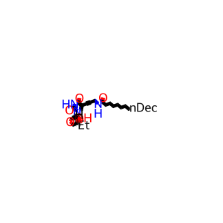 CCCCCCCCCCCCCCCCCC(=O)NCC#Cc1cn([C@@H]2O[C@@]3(CC)COC2[C@H]3O)c(=O)[nH]c1=O